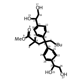 CCC(C)CC(CC(C)(C)C(=O)OC)(c1ccc(C(O)CO)cc1)c1ccc(C(O)CO)cc1